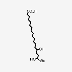 CCCCC(O)CCC(O)CCCCCCCCCCCCCC(=O)O